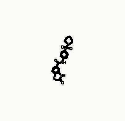 O=C1CSc2ccc(C(=O)Nc3ccc(S(=O)(=O)N4CCCCC4)cc3)cc2N1